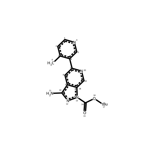 Cc1ccncc1-c1cc2c(N)nn(C(=O)OC(C)(C)C)c2cn1